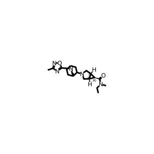 CCN(C)C(=O)[C@H]1[C@@H]2CN(C3CC4CCC3=CN4c3nc(C)no3)C[C@@H]21